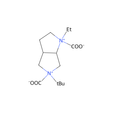 CC[N+]1(C(=O)[O-])CCC2C[N+](C(=O)[O-])(C(C)(C)C)CC21